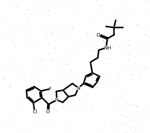 CC(C)(C)CC(=O)NCCCc1cccc(N2CC3CN(C(=O)c4c(F)cccc4Cl)CC3C2)c1